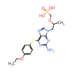 CCOc1ccc(Sc2nc(N)nc3c2ncn3CC(C)OCP(=O)(O)O)cc1